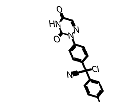 N#CC(Cl)(c1ccc(Cl)cc1)c1ccc(-n2ncc(=O)[nH]c2=O)cc1